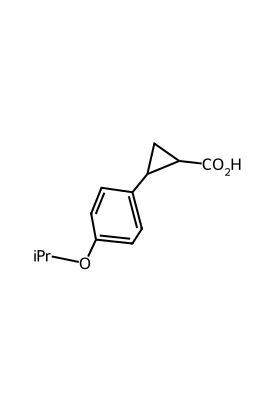 CC(C)Oc1ccc(C2CC2C(=O)O)cc1